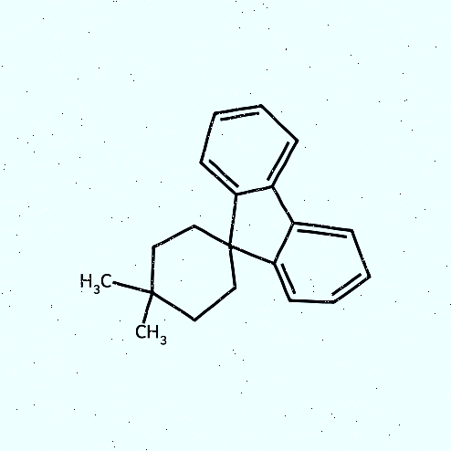 CC1(C)CCC2(CC1)c1ccccc1-c1ccccc12